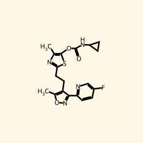 Cc1nc(CCc2c(-c3ccc(F)cn3)noc2C)sc1OC(=O)NC1CC1